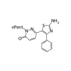 CCCCCn1nc(-c2sc(N)nc2-c2ccccc2)ccc1=O